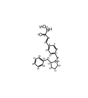 O=C(/C=C/c1ccc(CN2CCCC2Cc2ccccc2)cc1)NO